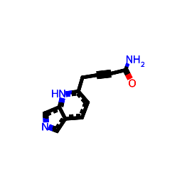 NC(=O)C#CCc1ccc2cncc-2[nH]1